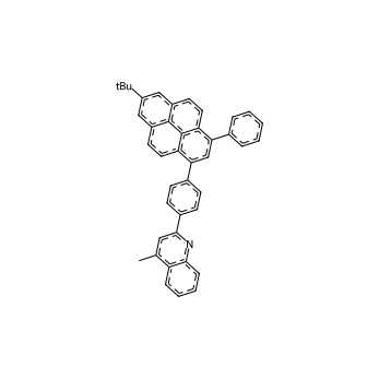 Cc1cc(-c2ccc(-c3cc(-c4ccccc4)c4ccc5cc(C(C)(C)C)cc6ccc3c4c56)cc2)nc2ccccc12